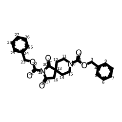 O=C(OCc1ccccc1)N1CCC2(CC1)CC(=O)N(C(=O)OCc1ccccc1)C2=O